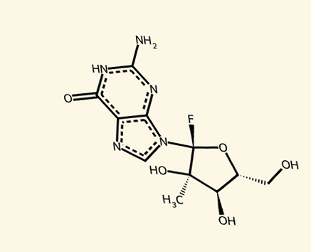 C[C@@]1(O)[C@H](O)[C@@H](CO)O[C@@]1(F)n1cnc2c(=O)[nH]c(N)nc21